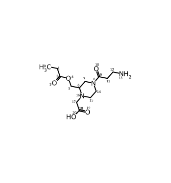 CCC(=O)OCC1CN(C(=O)CCN)CCN1CC(=O)O